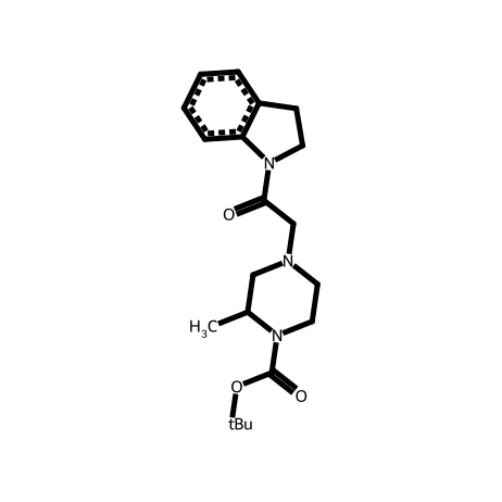 CC1CN(CC(=O)N2CCc3ccccc32)CCN1C(=O)OC(C)(C)C